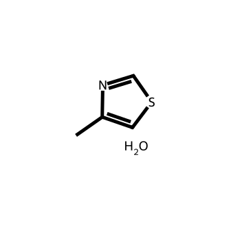 Cc1cscn1.O